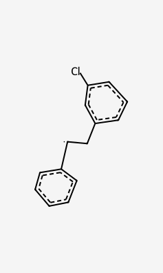 Clc1cccc(C[CH]c2ccccc2)c1